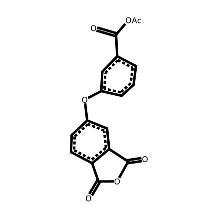 CC(=O)OC(=O)c1cccc(Oc2ccc3c(c2)C(=O)OC3=O)c1